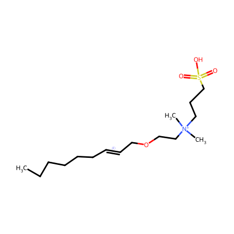 CCCCCC/C=C/COCC[N+](C)(C)CCCS(=O)(=O)O